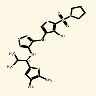 Cc1cc([C@H](Nc2nsnc2Nc2csc(S(=O)(=O)N3CCCC3)c2O)C(C)C)oc1C